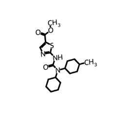 COC(=O)c1cnc(NC(=O)N(C2CCCCC2)C2CCC(C)CC2)s1